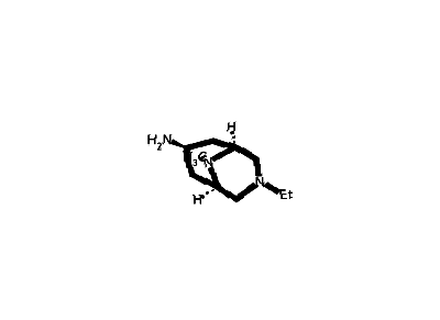 CCN1C[C@H]2C[C@@H](N)C[C@@H](C1)N2C